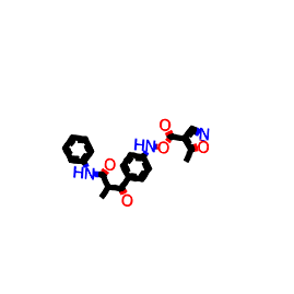 Cc1oncc1C(=O)ONc1ccc(C(=O)C(C)C(=O)Nc2ccccc2)cc1